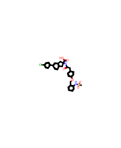 CS(=O)(=O)Nc1ccccc1COc1ccc(CC(=O)NC2(C(=O)O)Cc3ccc(-c4ccc(Cl)cc4)cc3C2)cc1